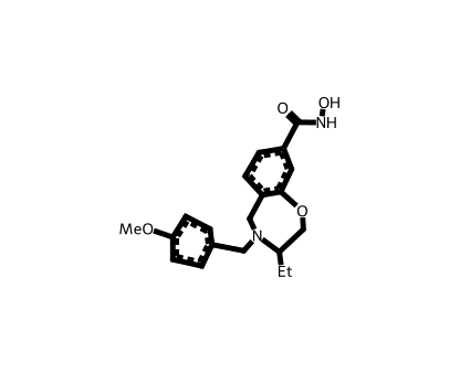 CCC1COc2cc(C(=O)NO)ccc2CN1Cc1ccc(OC)cc1